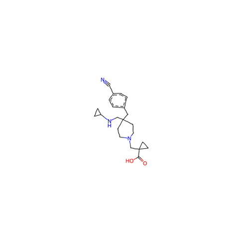 N#Cc1ccc(CC2(CNC3CC3)CCN(CC3(C(=O)O)CC3)CC2)cc1